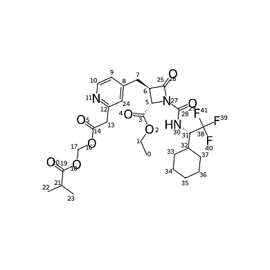 CCOC(=O)[C@@H]1[C@@H](Cc2ccnc(CC(=O)OCOC(=O)C(C)C)c2)C(=O)N1C(=O)N[C@@H](C1CCCCC1)C(F)(F)F